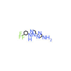 Nc1cnc(-c2ccnc(Nc3cccc(C(F)(F)F)c3)n2)nc1